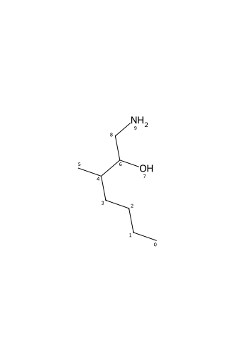 CCCCC(C)C(O)CN